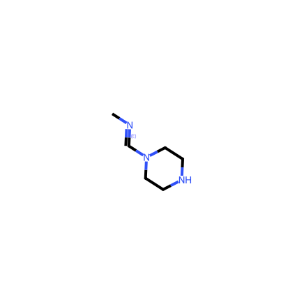 C/N=C/N1CCNCC1